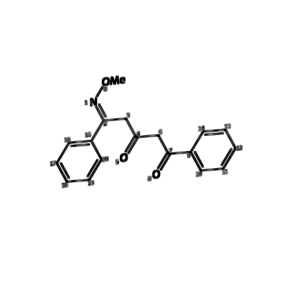 CO/N=C(\CC(=O)CC(=O)c1ccccc1)c1ccccc1